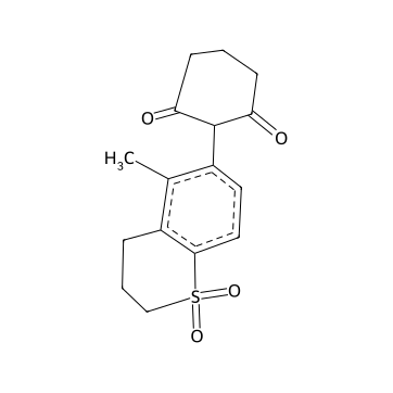 Cc1c(C2C(=O)CCCC2=O)ccc2c1CCCS2(=O)=O